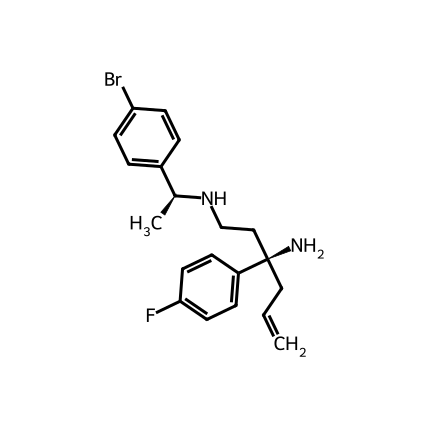 C=CC[C@@](N)(CCN[C@@H](C)c1ccc(Br)cc1)c1ccc(F)cc1